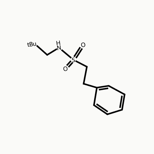 CC(C)(C)CNS(=O)(=O)CCc1ccccc1